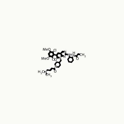 C=CC(=O)NC1CCCCC1Nc1ncc2cc(-c3c(Cl)c(OC)cc(OC)c3Cl)c(=O)n(CC3CCN(C(=O)/C=C/CN(C)C)CC3)c2n1